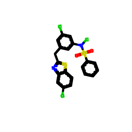 O=S(=O)(c1ccccc1)N(Cl)c1cc(Cl)cc(Cc2nc3cc(Cl)ccc3s2)c1